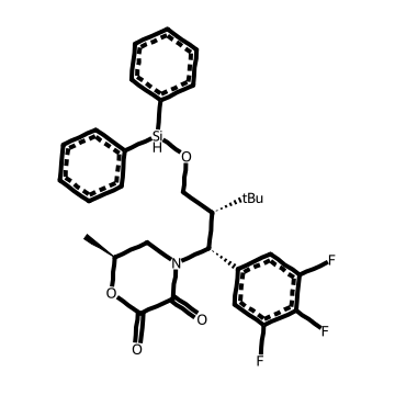 C[C@H]1CN([C@@H](c2cc(F)c(F)c(F)c2)[C@H](CO[SiH](c2ccccc2)c2ccccc2)C(C)(C)C)C(=O)C(=O)O1